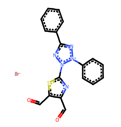 O=Cc1nc(-n2nc(-c3ccccc3)n[n+]2-c2ccccc2)sc1C=O.[Br-]